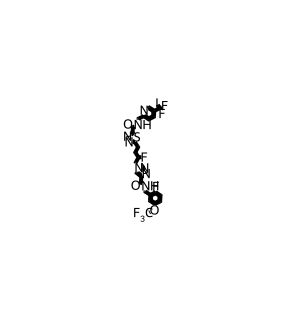 O=C(NCc1cc(OC(F)(F)F)ccc1F)c1cn(CC(F)CCc2nnc(C(=O)NCc3ccc(C(F)(F)I)cn3)s2)nn1